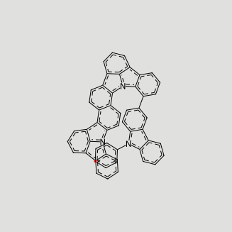 c1ccc(-n2c3ccccc3c3cc(-c4cccc5c6cccc7c8ccc9c(ccc%10c9c9cccc%11c%12ccccc%12n%10c%119)c8n(c45)c67)ccc32)cc1